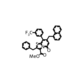 COC(=O)c1c(Cc2ccccc2)sc2c(-c3cccc(C(F)(F)F)c3)c(Cc3cccc4ccccc34)cc(=O)n12